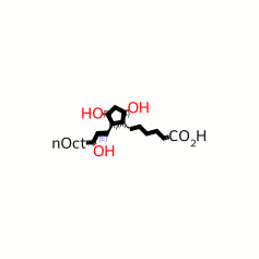 CCCCCCCCC(O)/C=C/[C@@H]1[C@@H](CCCCCC(=O)O)[C@@H](O)C[C@H]1O